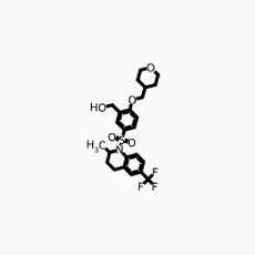 CC1CCc2cc(C(F)(F)F)ccc2N1S(=O)(=O)c1ccc(OCC2CCOCC2)c(CO)c1